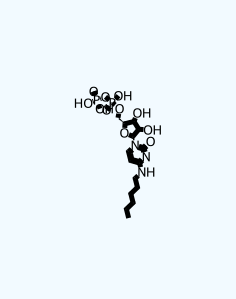 CCCCCCNc1ccn([C@@H]2O[C@H](COP(=O)(O)OP(=O)(O)O)C(O)C2O)c(=O)n1